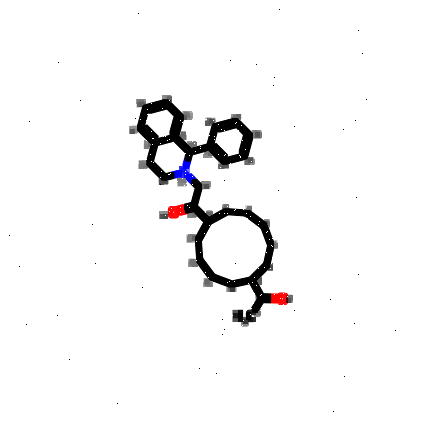 CC(=O)C1CCCCCC(C(=O)CN2CCc3ccccc3C2c2ccccc2)CCCC1